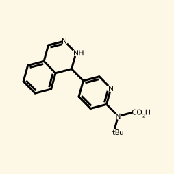 CC(C)(C)N(C(=O)O)c1ccc(C2NN=Cc3ccccc32)cn1